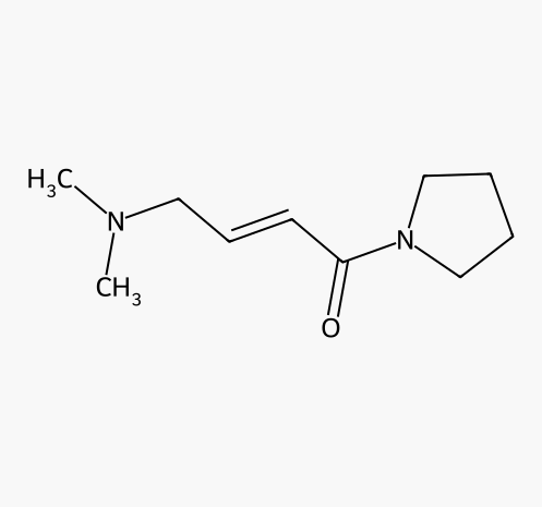 CN(C)C/C=C/C(=O)N1CCCC1